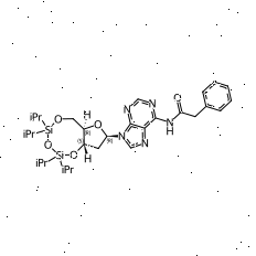 CC(C)[Si]1(C(C)C)OC[C@H]2O[C@@H](n3cnc4c(NC(=O)Cc5ccccc5)ncnc43)C[C@@H]2O[Si](C(C)C)(C(C)C)O1